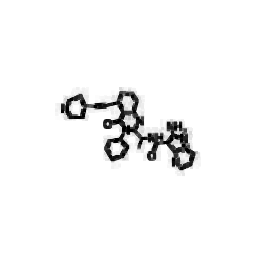 CC(NC(=O)c1c(N)nn2cccnc12)c1nc2cccc(C#Cc3ccncc3)c2c(=O)n1-c1ccccc1